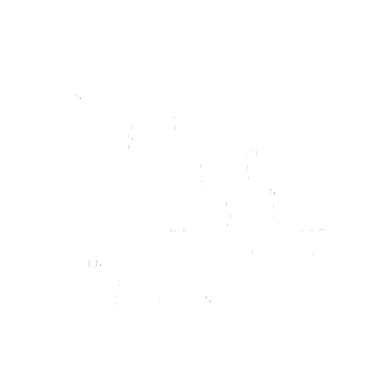 Cc1nc(C2CC2)c(CC#N)c(CO)c1OCc1ccc(C#N)cc1.Nc1ccccc1